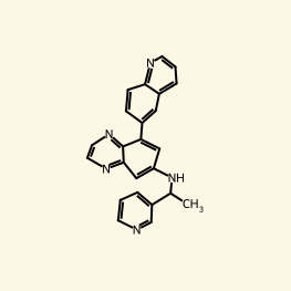 CC(Nc1cc(-c2ccc3ncccc3c2)c2nccnc2c1)c1cccnc1